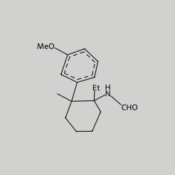 CCC1(NC=O)CCCCC1(C)c1cccc(OC)c1